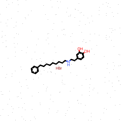 Br.Oc1ccc(CCNCCCCCCCCCc2ccccc2)cc1O